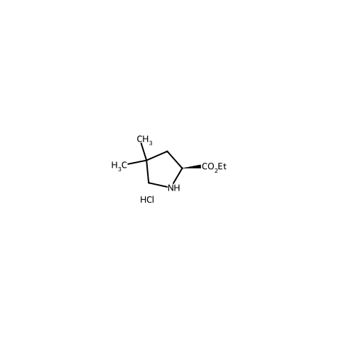 CCOC(=O)[C@@H]1CC(C)(C)CN1.Cl